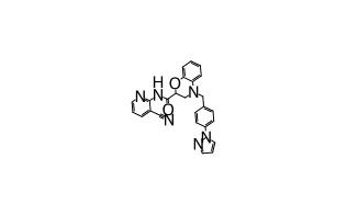 N#Cc1cccnc1NC(=O)C1CN(Cc2ccc(-n3cccn3)cc2)c2ccccc2O1